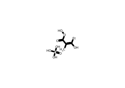 CCC(O)=C(C)C(=O)OO.O=P(O)(O)O